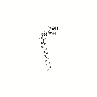 CCCCCCCCCCCCCC/C=C\OCC(O)CO